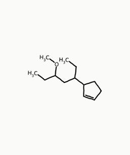 CCC(CC(CC)C1C=CCC1)OC